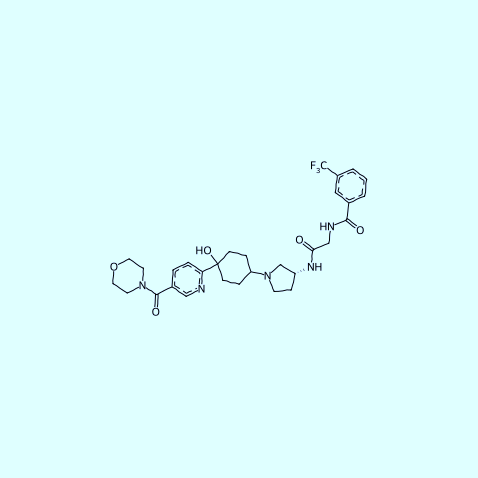 O=C(CNC(=O)c1cccc(C(F)(F)F)c1)N[C@@H]1CCN(C2CCC(O)(c3ccc(C(=O)N4CCOCC4)cn3)CC2)C1